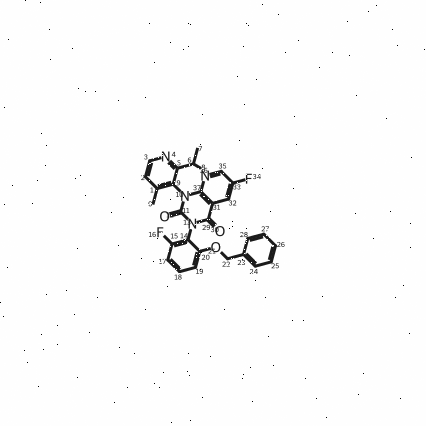 Cc1ccnc(C(C)C)c1-n1c(=O)n(-c2c(F)cccc2OCc2ccccc2)c(=O)c2cc(F)cnc21